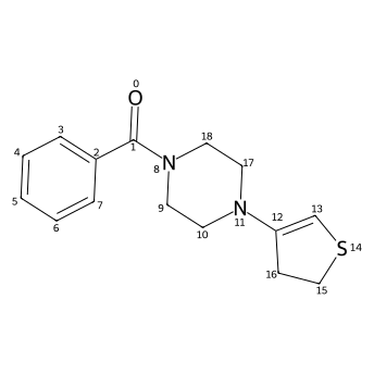 O=C(c1ccccc1)N1CCN(C2=CSCC2)CC1